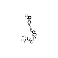 CC(COC(=O)OCOC1=Nc2cc(OCCCCN3CCN(c4cccc(Cl)c4Cl)CC3)ccc2CC1)CC(C)(C)C